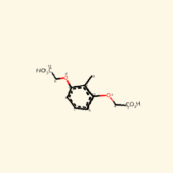 Cc1c(OCC(=O)O)cccc1OCC(=O)O